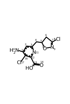 Nc1cc(CC2CC(Cl)=NO2)nc(C(=O)O)c1Cl